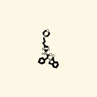 O=C(Nc1nc(CCCN2CCOCC2)cs1)[C@@H](c1ccccc1)N1Cc2ccccc2C1=O